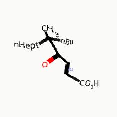 CCCCCCCC(C)(CCCC)C(=O)/C=C/C(=O)O